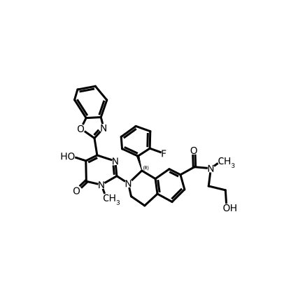 CN(CCO)C(=O)c1ccc2c(c1)[C@H](c1ccccc1F)N(c1nc(-c3nc4ccccc4o3)c(O)c(=O)n1C)CC2